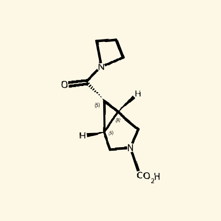 O=C(O)N1C[C@@H]2[C@H](C1)[C@@H]2C(=O)N1CCC1